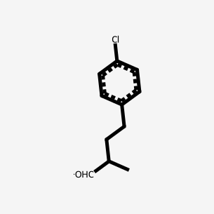 CC([C]=O)CCc1ccc(Cl)cc1